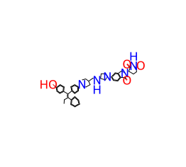 CCC(=C(c1ccc(O)cc1)c1ccc(N2CCC(CNC3CCN(c4ccc5c(c4)CN(C4CCC(=O)NC4=O)C5=O)C3)CC2)cc1)c1ccccc1